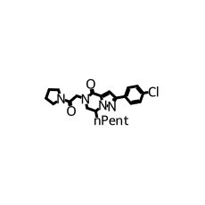 CCCCCC1CN(CC(=O)N2CCCC2)C(=O)c2cc(-c3ccc(Cl)cc3)nn21